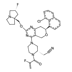 C=C(F)C(=O)N1CCN(c2nc(OC[C@@]34CCCN3C[C@H](F)C4)nc3c2CO[C@H](c2cccc4cccc(Cl)c24)C3)C[C@@H]1CC#N